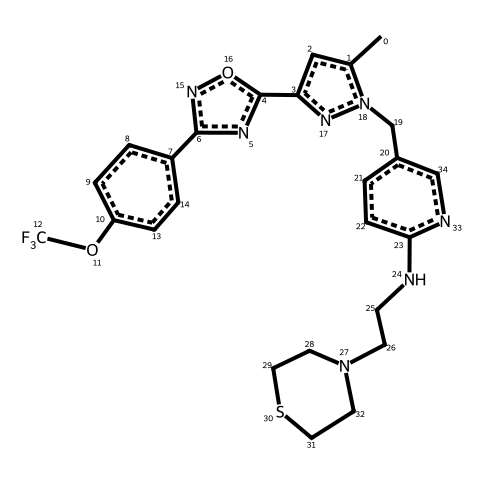 Cc1cc(-c2nc(-c3ccc(OC(F)(F)F)cc3)no2)nn1Cc1ccc(NCCN2CCSCC2)nc1